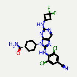 N#Cc1cc(Cl)c(Nc2nc3cnc(NC4CC(F)(F)C4)nc3n2[C@H]2CC[C@@H](C(N)=O)CC2)c(Cl)c1